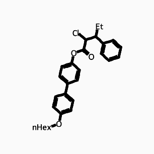 CCCCCCOc1ccc(-c2ccc(OC(=O)C(Cl)C(CC)c3ccccc3)cc2)cc1